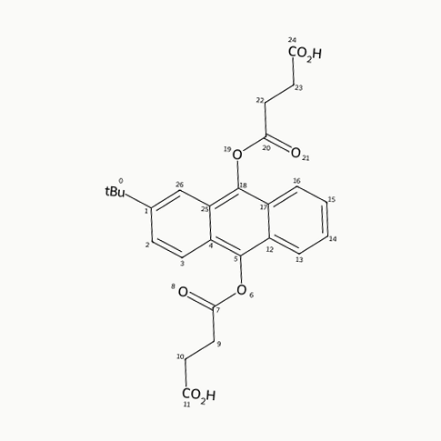 CC(C)(C)c1ccc2c(OC(=O)CCC(=O)O)c3ccccc3c(OC(=O)CCC(=O)O)c2c1